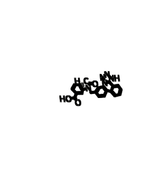 CC(=O)N(Cc1ccc(-c2ccccc2-c2nnn[nH]2)cc1)c1cccc(C(=O)O)c1